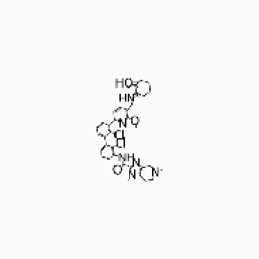 COc1nc(-c2cccc(-c3cccc(NC(=O)c4nc5c(n4C)CCN(C)C5)c3Cl)c2Cl)ccc1CN[C@@H]1CCCC[C@@H]1O